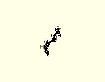 CCN1CCC(CC(=O)Nc2ccn(CCCCn3cc(C(=O)NCc4cccc(C(F)(F)F)c4)nn3)c(=O)c2)CC1